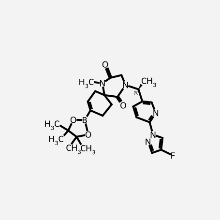 C[C@@H](c1ccc(-n2cc(F)cn2)nc1)N1CC(=O)N(C)C2(CC=C(B3OC(C)(C)C(C)(C)O3)CC2)C1=O